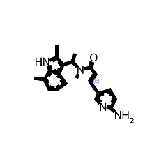 Cc1[nH]c2c(C)cccc2c1C(C)N(C)C(=O)/C=C/c1ccc(N)nc1